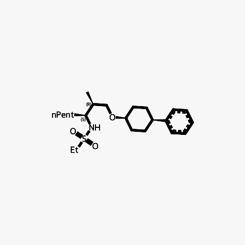 CCCCC[C@H](NS(=O)(=O)CC)[C@@H](C)CO[C@H]1CC[C@@H](c2ccccc2)CC1